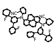 N#Cc1ccccc1N(c1cc(-c2ccccc2F)cc(-c2ccccc2F)c1)c1ccc2ccc3c(N(c4cc(-c5ccccc5F)cc(-c5ccccc5F)c4)c4ccccc4C#N)ccc4ccc1c2c43